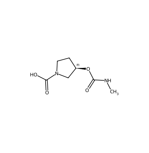 CNC(=O)O[C@@H]1CCN(C(=O)O)C1